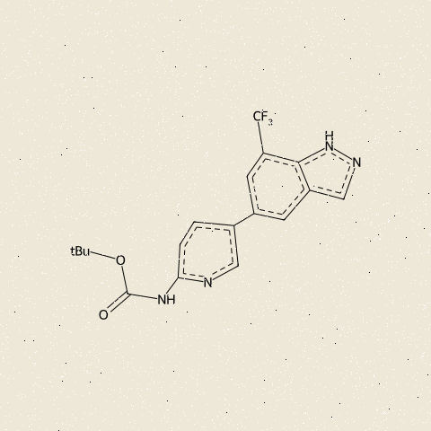 CC(C)(C)OC(=O)Nc1ccc(-c2cc(C(F)(F)F)c3[nH]ncc3c2)cn1